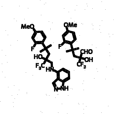 COc1ccc(C(C)(C)CC(O)(C=O)C(F)(F)F)c(F)c1.COc1ccc(C(C)(C)CC(O)(CNc2cccc3[nH]ncc23)C(F)(F)F)c(F)c1